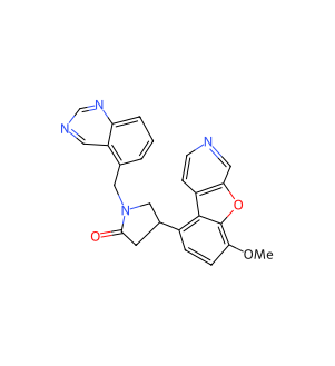 COc1ccc(C2CC(=O)N(Cc3cccc4ncncc34)C2)c2c1oc1cnccc12